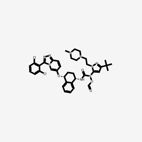 CN1CCN(CCn2nc(C(C)(C)C)cc2N(OC=O)C(=O)N[C@H]2CC[C@@H](Oc3ccc4nnc(-c5c(Cl)cccc5Cl)n4c3)c3ccccc32)CC1